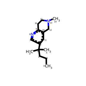 CCCC(C)(C)c1cnc2c(c1)CN(C)CC2